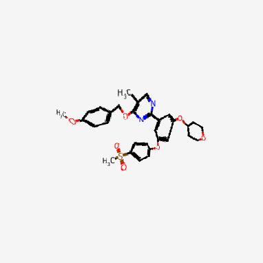 COc1ccc(COc2nc(-c3cc(Oc4ccc(S(C)(=O)=O)cc4)cc(OC4CCOCC4)c3)ncc2C)cc1